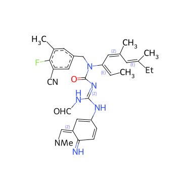 C\C=C(/C=C(C)\C=C(/C)CC)N(Cc1cc(C)c(F)c(C#N)c1)C(=O)/N=C(\NC=O)NC1=C/C(=C/NC)C(=N)C=C1